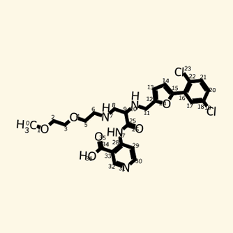 COCCOCCNCC(NCc1ccc(-c2cc(Cl)ccc2Cl)o1)C(=O)Nc1ccncc1C(=O)O